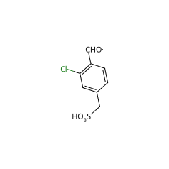 O=[C]c1ccc(CS(=O)(=O)O)cc1Cl